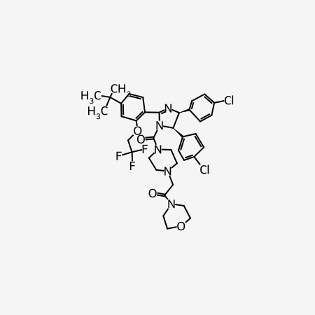 CC(C)(C)c1ccc(C2=N[C@@H](c3ccc(Cl)cc3)[C@@H](c3ccc(Cl)cc3)N2C(=O)N2CCN(CC(=O)N3CCOCC3)CC2)c(OCC(F)(F)F)c1